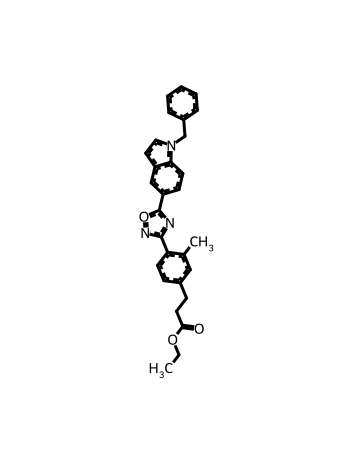 CCOC(=O)CCc1ccc(-c2noc(-c3ccc4c(ccn4Cc4ccccc4)c3)n2)c(C)c1